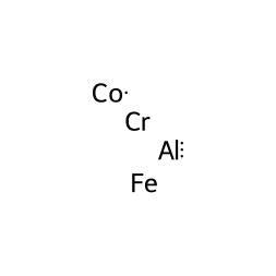 [Al].[Co].[Cr].[Fe]